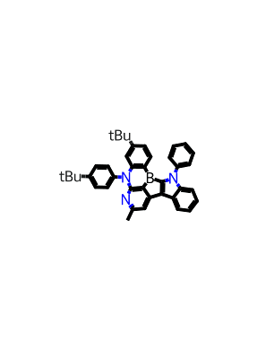 Cc1cc2c3c(n1)N(c1ccc(C(C)(C)C)cc1)c1cc(C(C)(C)C)ccc1B3c1c-2c2ccccc2n1-c1ccccc1